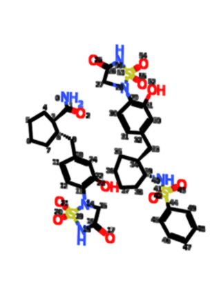 NC(=O)[C@@H]1CCCC[C@H]1Cc1ccc(N2CC(=O)NS2(=O)=O)c(O)c1.O=C1CN(c2ccc(C[C@@H]3CCCC[C@H]3NS(=O)(=O)c3ccccc3)cc2O)S(=O)(=O)N1